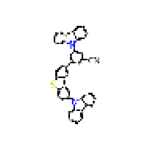 N#Cc1cc(-c2ccc3sc4ccc(-n5c6ccccc6c6ccccc65)cc4c3c2)cc(-n2c3ccccc3c3ccccc32)c1